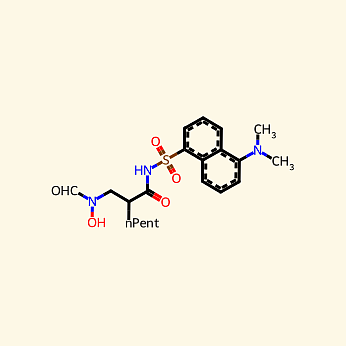 CCCCCC(CN(O)C=O)C(=O)NS(=O)(=O)c1cccc2c(N(C)C)cccc12